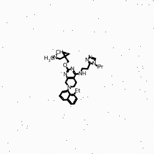 CCc1cccc2cccc(N3CCc4c(nc(OCC5(CN(C)C)CC5)nc4NCCc4nncn4C(C)C)C3)c12